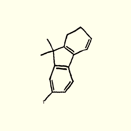 CC1(C)C2=C(C=CCC2)c2ccc(I)cc21